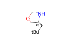 CC(C)(C)C[C@H]1COCCN1